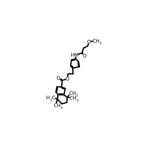 COCCC(=O)Nc1ccc(CCOC(=O)c2ccc3c(c2)C(C)(C)CCC3(C)C)cc1